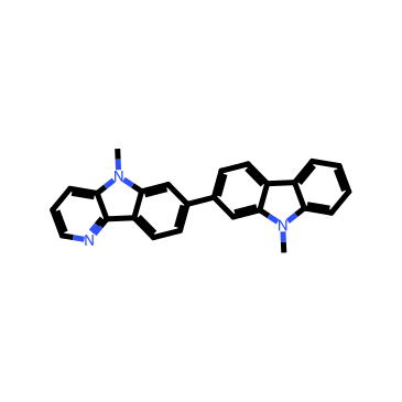 Cn1c2ccccc2c2ccc(-c3ccc4c5ncccc5n(C)c4c3)cc21